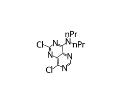 CCCN(CCC)c1nc(Cl)nc2c(Cl)ncnc12